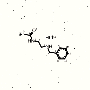 CC(C)C(=O)NCCNCc1ccccc1.Cl